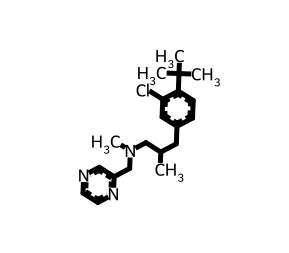 CC(Cc1ccc(C(C)(C)C)c(Cl)c1)CN(C)Cc1cnccn1